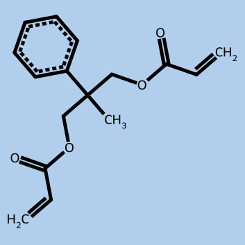 C=CC(=O)OCC(C)(COC(=O)C=C)c1ccccc1